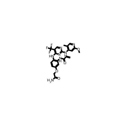 C=CC(=O)Nc1cc(OCC(N)=O)ccc1Nc1nc(Nc2cc(OC)ncc2C)ncc1C(F)(F)F